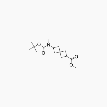 COC(=O)C1CC2(C1)CC(N(C)C(=O)OC(C)(C)C)C2